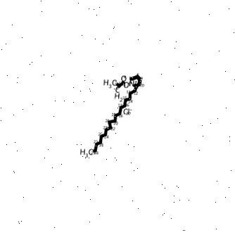 C=C(C)C(=O)O[n+]1ccccc1CCCCCCCCCCCCCCCCCC.[Cl-]